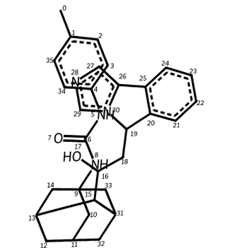 Cc1ccc(NC(=O)NC23CC4CC(C2)C(C(O)CC2c5ccccc5-c5cncn52)C(C4)C3)cc1